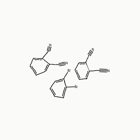 Brc1ccccc1Br.N#Cc1ccccc1C#N.N#Cc1ccccc1C#N